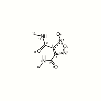 CNC(=O)c1no[n+]([O-])c1C(=O)NC